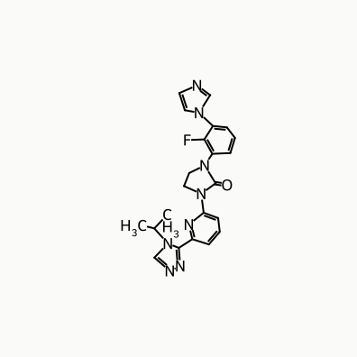 CC(C)n1cnnc1-c1cccc(N2CCN(c3cccc(-n4ccnc4)c3F)C2=O)n1